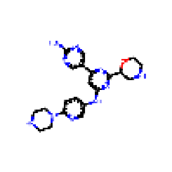 Nc1ncc(-c2cc(Nc3ccc(N4CCNCC4)nc3)nc(C3CNCCO3)n2)cn1